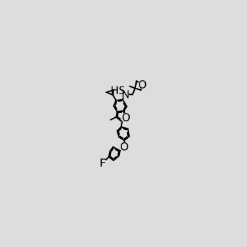 Cc1c(-c2ccc(Oc3ccc(F)cc3)cc2)oc2cc(N(S)CC3(C)COC3)c(C3CC3)cc12